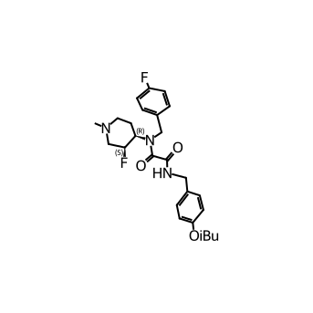 CC(C)COc1ccc(CNC(=O)C(=O)N(Cc2ccc(F)cc2)[C@@H]2CCN(C)C[C@@H]2F)cc1